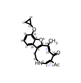 CC(=O)/C1=C/NCCc2c(oc3c(OC4CC4)cccc23)/C(C)=C/C1=O